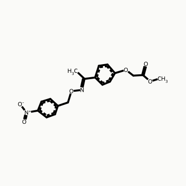 COC(=O)COc1ccc(C(C)=NOCc2ccc([N+](=O)[O-])cc2)cc1